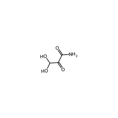 NC(=O)C(=O)C(O)O